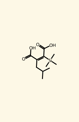 CC(C)CC(C(=O)O)=C(C(=O)O)[Si](C)(C)C